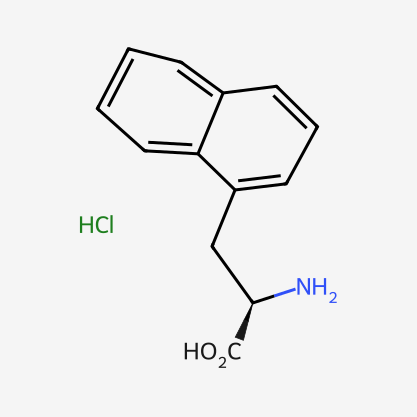 Cl.N[C@H](Cc1cccc2ccccc12)C(=O)O